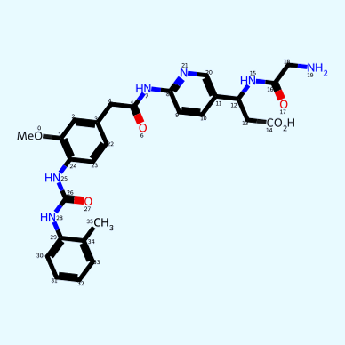 COc1cc(CC(=O)Nc2ccc(C(CC(=O)O)NC(=O)CN)cn2)ccc1NC(=O)Nc1ccccc1C